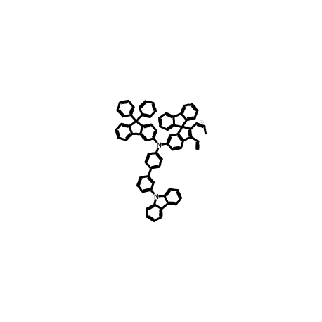 C=CC1=C(/C=C\C)C2(c3cc(N(c4ccc(-c5cccc(-n6c7ccccc7c7ccccc76)c5)cc4)c4ccc5c(c4)-c4ccccc4C5(c4ccccc4)c4ccccc4)ccc31)c1ccccc1-c1ccccc12